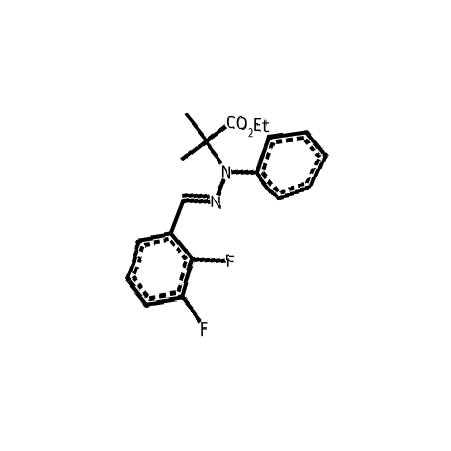 CCOC(=O)C(C)(C)N(N=Cc1cccc(F)c1F)c1ccccc1